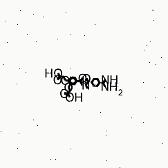 CN(CC(=O)c1ccc(OCC(=O)O)c(OCC(=O)O)c1)C(=O)[C@H]1CC[C@H](C(=N)N)CC1